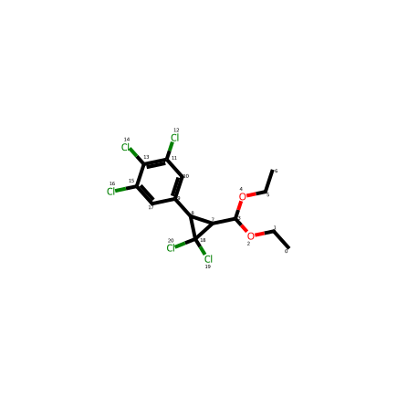 CCOC(OCC)C1C(c2cc(Cl)c(Cl)c(Cl)c2)C1(Cl)Cl